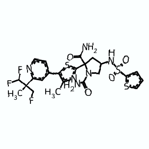 Cc1nc(C2(C(N)=O)CC(NS(=O)(=O)c3cccs3)CN2C(N)=O)sc1-c1ccnc(C(C)(CF)C(F)F)c1